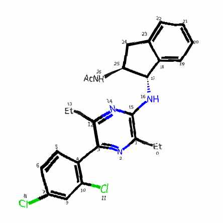 CCc1nc(-c2ccc(Cl)cc2Cl)c(CC)nc1N[C@H]1c2ccccc2C[C@@H]1NC(C)=O